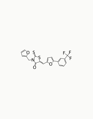 O=C1C(=Cc2ccc(-c3cccc(C(F)(F)F)c3)o2)SC(=S)N1Cc1ccco1